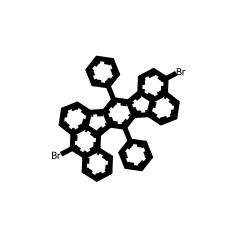 Brc1ccc2c3c(-c4ccccc4)c4c5cccc6c(Br)c7ccccc7c(c4c(-c4ccccc4)c3c3cccc1c23)c65